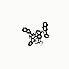 CC1(C)c2ccccc2-c2nc(-c3ccc4ccccc4c3)nc(-c3cccc4c(-n5c6ccccc6c6cc7ccccc7cc65)cccc34)c21